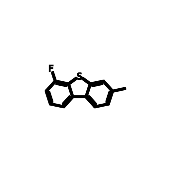 Cc1ccc2c(c1)sc1c(F)cccc12